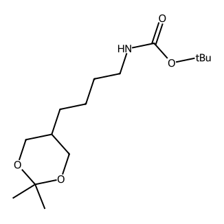 CC(C)(C)OC(=O)NCCCCC1COC(C)(C)OC1